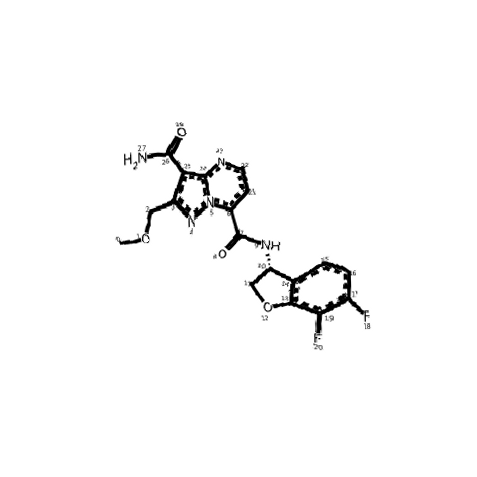 COCc1nn2c(C(=O)N[C@H]3COc4c3ccc(F)c4F)ccnc2c1C(N)=O